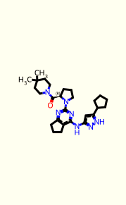 CC1(C)CCN(C(=O)[C@H]2CCCN2c2nc3c(c(Nc4cc(C5CCCC5)[nH]n4)n2)CCC3)CC1